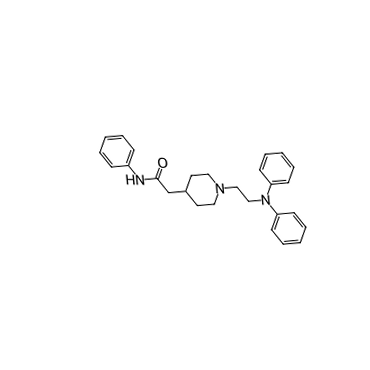 O=C(CC1CCN(CCN(c2ccccc2)c2ccccc2)CC1)Nc1ccccc1